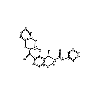 CC1c2cc(C(=O)N3Cc4ccccc4C[C@H]3C)ccc2CCN1C(=O)Nc1ccccc1